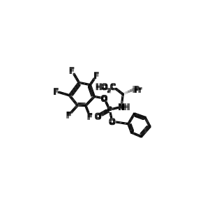 CC(C)[C@H](NP(=O)(Oc1ccccc1)Oc1c(F)c(F)c(F)c(F)c1F)C(=O)O